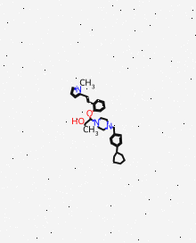 CC(O)C(Oc1ccccc1/C=C/c1cccn1C)N1CCN(Cc2ccc(C3CCCCC3)cc2)CC1